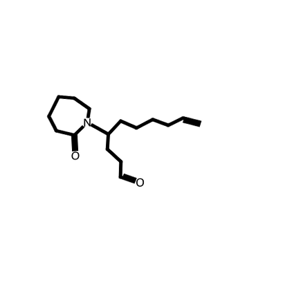 C=CCCCCC(CCC=O)N1CCCCCC1=O